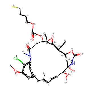 COc1cc2cc(c1Cl)N(C)C(=O)CC(OC(=O)OCCCCS)C1(C)OC1C(C)C1CC(O)(NC(=O)O1)C(OC)/C=C/C=C(\C)C2